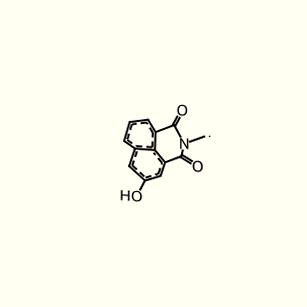 [CH2]N1C(=O)c2cccc3cc(O)cc(c23)C1=O